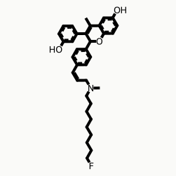 CC1=C(c2cccc(O)c2)C(c2ccc(/C=C\CN(C)CCCCCCCCCF)cc2)Oc2ccc(O)cc21